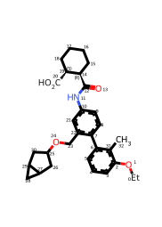 CCOc1cccc(-c2ccc(NC(=O)[C@@H]3CCCC[C@@H]3C(=O)O)cc2COC2CC3CC3C2)c1C